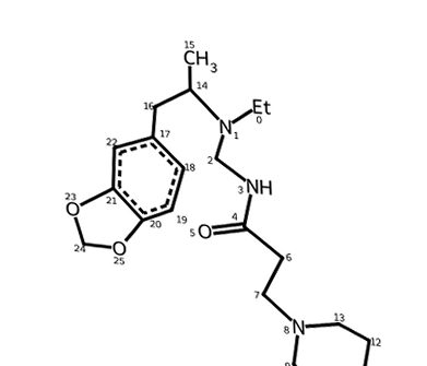 CCN(CNC(=O)CCN1CCCCC1)C(C)Cc1ccc2c(c1)OCO2